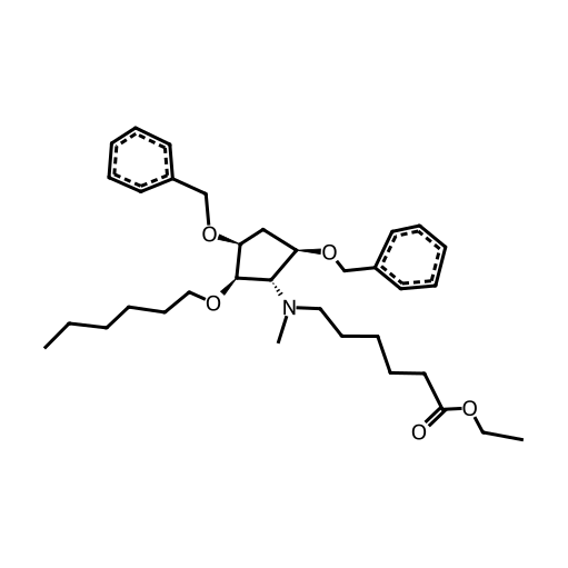 CCCCCCO[C@@H]1[C@@H](N(C)CCCCCC(=O)OCC)[C@H](OCc2ccccc2)C[C@@H]1OCc1ccccc1